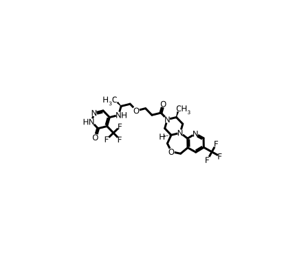 C[C@@H](COCCC(=O)N1C[C@@H]2COCc3cc(C(F)(F)F)cnc3N2C[C@@H]1C)Nc1cn[nH]c(=O)c1C(F)(F)F